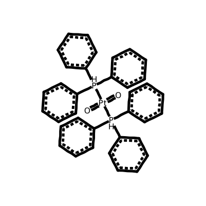 [O]=[Pt](=[O])([PH](c1ccccc1)(c1ccccc1)c1ccccc1)[PH](c1ccccc1)(c1ccccc1)c1ccccc1